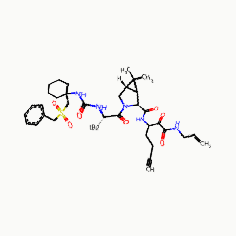 C#CCCC(NC(=O)[C@@H]1C2[C@H](CN1C(=O)[C@@H](NC(=O)NC1(CS(=O)(=O)Cc3ccccc3)CCCCC1)C(C)(C)C)C2(C)C)C(=O)C(=O)NCC=C